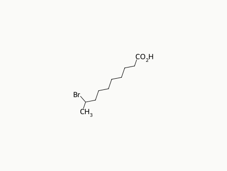 CC(Br)CCCCCCCC(=O)O